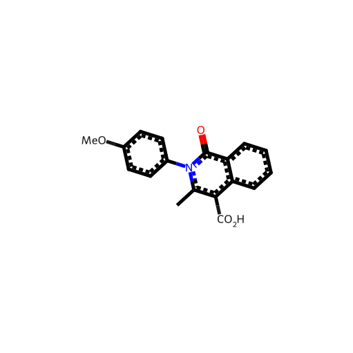 COc1ccc(-n2c(C)c(C(=O)O)c3ccccc3c2=O)cc1